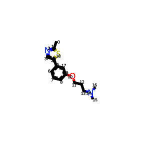 Cc1n[c]c(-c2cccc(OCCCN(C)C)c2)s1